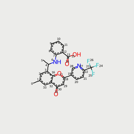 Cc1cc(C(C)Nc2ccccc2C(=O)O)c2oc(-c3ccc(C(F)(F)F)nc3)cc(=O)c2c1